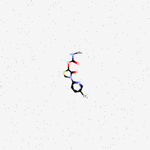 CC(C)(C)NC(=O)OC1SCN(c2ccc(C(F)(F)F)cn2)C1=O